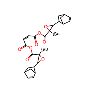 CC(C)(C)C1(C(=O)OC(=O)/C=C\C(=O)OC(=O)C2(C(C)(C)C)OC2C2CC3C=CC2C3)OC1C1CC2C=CC1C2